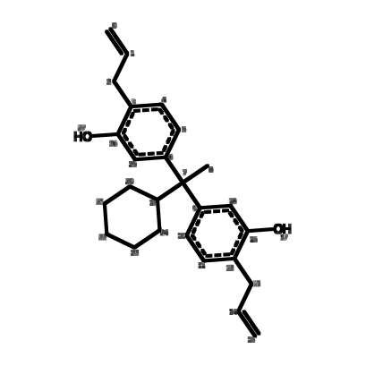 C=CCc1ccc(C(C)(c2ccc(CC=C)c(O)c2)C2CCCCC2)cc1O